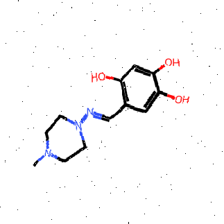 CN1CCN(N=Cc2cc(O)c(O)cc2O)CC1